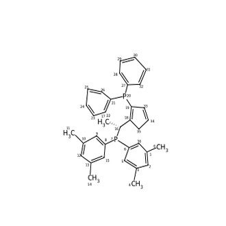 Cc1cc(C)cc(P(c2cc(C)cc(C)c2)[C@H](C)C2=C(P(c3ccccc3)c3ccccc3)C=CC2)c1